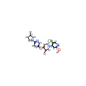 COc1cc(N2CC[C@@H](Oc3cnc(N4CCC(C)C4)cn3)C(C)C2)c(Cl)cn1